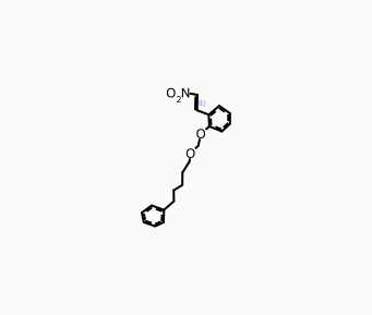 O=[N+]([O-])/C=C/c1ccccc1OCOCCCCCc1ccccc1